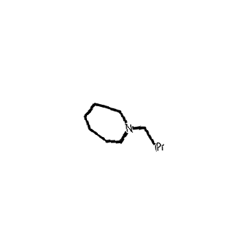 CC(C)CN1CCCCCC1